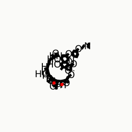 CO[C@H]1[C@@H](C)[C@H](OC(C)=O)[C@H](C)[C@@H](OC)/C=C/O[C@@]2(C)Oc3c(C)c(O)c4c(c3C2=O)C2=Nc3ccc(OCCN(C)C)cc3OC2=C(NC(=O)/C(C)=C\C=C\[C@H](C)[C@H](O)[C@H]1C)C4O